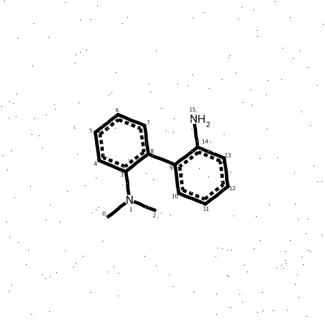 CN(C)c1c[c]ccc1-c1ccccc1N